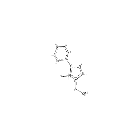 Cn1c(CO)nnc1-c1ccncn1